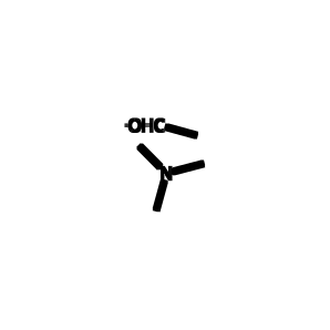 CN(C)C.C[C]=O